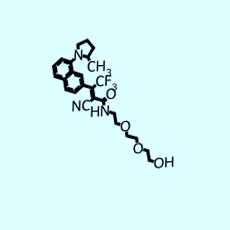 CC1CCCN1c1cccc2ccc(/C(=C(\C#N)C(=O)NCCOCCOCCO)C(F)(F)F)cc12